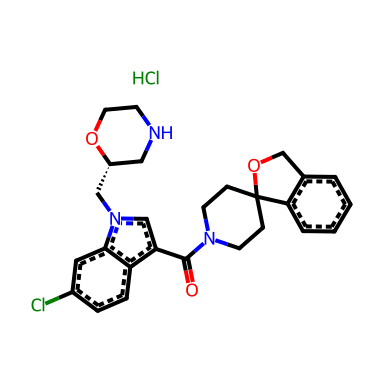 Cl.O=C(c1cn(C[C@H]2CNCCO2)c2cc(Cl)ccc12)N1CCC2(CC1)OCc1ccccc12